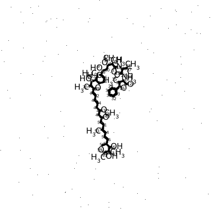 CCC1C(C/C=C(\C)C(O)CC(OC)C(C)C(=O)NC(C(=O)NC2C(=O)OC(c3ccccc3)C2C)C(C)C)OC(/C=C/C=C/CC(CC(=O)/C=C/C(C)=C/C=C/C2COC(C)C(C)(O)C2O)OC)C(C)C1O